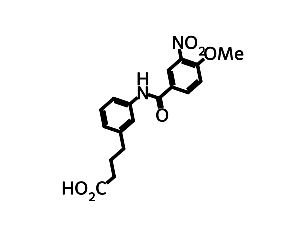 COc1ccc(C(=O)Nc2cccc(CCCC(=O)O)c2)cc1[N+](=O)[O-]